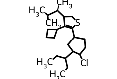 CCC(CC)C1CC(C2=C(C3CCC3)C(C(C)C(C)C)CS2)CCC1Cl